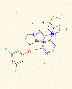 Cc1cc(N2C[C@H]3CC[C@@H](C2)C3Nc2nc3n(n2)CC[C@H]3Oc2cc(F)cc(F)c2)ncn1